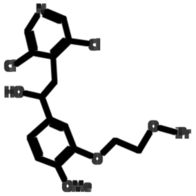 COc1ccc(C(O)Cc2c(Cl)cncc2Cl)cc1OCCOC(C)C